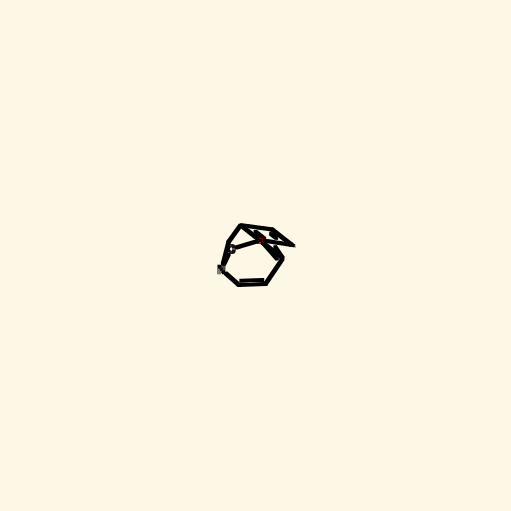 C1=CN2Cc3ccc(c1c3)O2